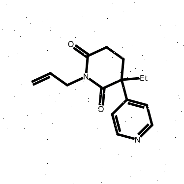 C=CCN1C(=O)CCC(CC)(c2ccncc2)C1=O